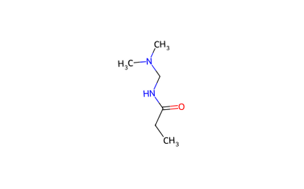 CCC(=O)NCN(C)C